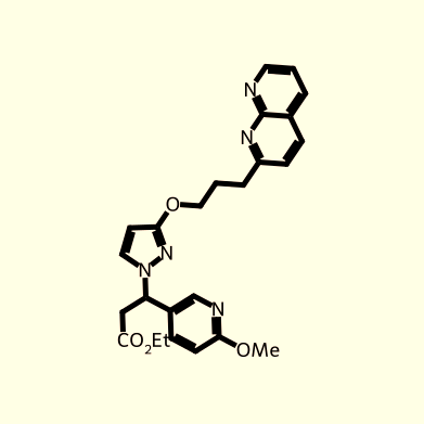 CCOC(=O)CC(c1ccc(OC)nc1)n1ccc(OCCCc2ccc3cccnc3n2)n1